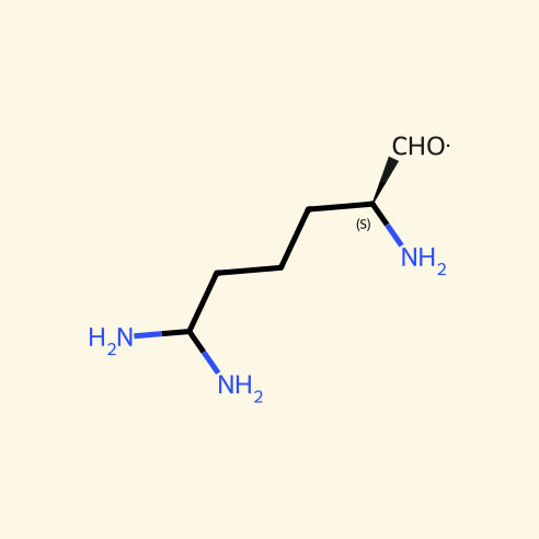 NC(N)CCC[C@H](N)[C]=O